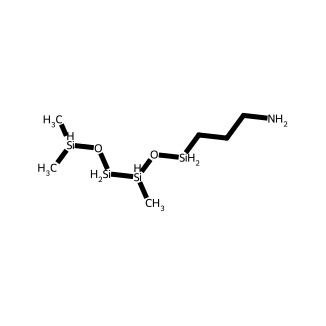 C[SiH](C)O[SiH2][SiH](C)O[SiH2]CCCN